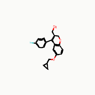 OCC1=C(c2ccc(F)cc2)c2cc(OCC3CC3)ccc2OC1